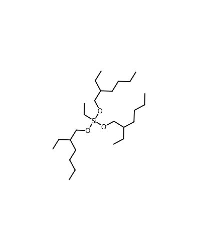 CCCCC(CC)CO[Si](CC)(OCC(CC)CCCC)OCC(CC)CCCC